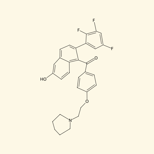 O=C(c1ccc(OCCN2CCCCC2)cc1)c1c(-c2cc(F)cc(F)c2F)ccc2cc(O)ccc12